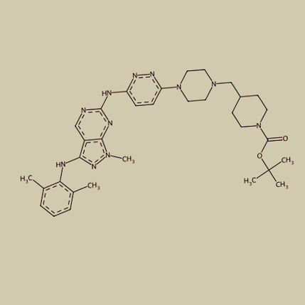 Cc1cccc(C)c1Nc1nn(C)c2nc(Nc3ccc(N4CCN(CC5CCN(C(=O)OC(C)(C)C)CC5)CC4)nn3)ncc12